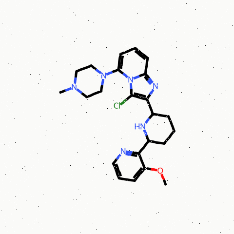 COc1cccnc1C1CCCC(c2nc3cccc(N4CCN(C)CC4)n3c2Cl)N1